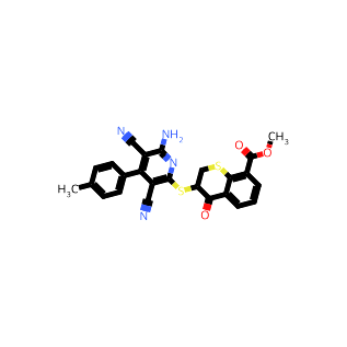 COC(=O)c1cccc2c1SCC(Sc1nc(N)c(C#N)c(-c3ccc(C)cc3)c1C#N)C2=O